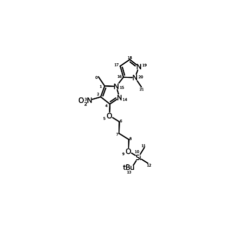 Cc1c([N+](=O)[O-])c(OCCCO[Si](C)(C)C(C)(C)C)nn1-c1ccnn1C